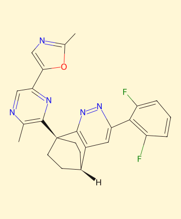 Cc1ncc(-c2cnc(C)c([C@]34CC[C@H](CC3)c3cc(-c5c(F)cccc5F)nnc34)n2)o1